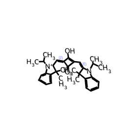 CC(C)N1/C(=C/C2=C(O)C(=C/C3=[N+](C(C)C)c4ccccc4C3(C)C)/C2=O)C(C)(C)c2ccccc21